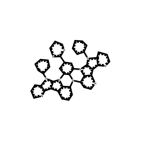 c1ccc(-n2c3cccnc3c3c4cccc5c4n(c32)-c2cc(-c3ncccn3)cc3c2B5c2ccnc4c5c6ncccc6n(-c6ccccc6)c5n-3c24)cc1